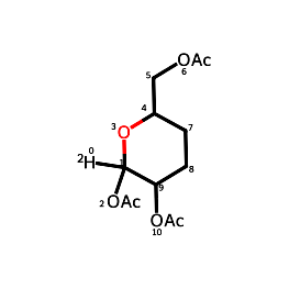 [2H]C1(OC(C)=O)OC(COC(C)=O)CCC1OC(C)=O